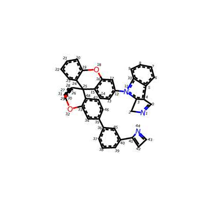 C1=NCc2c1c1ccccc1n2-c1ccc2c(c1)Oc1ccccc1C21c2ccccc2Oc2cc(-c3cccc(C4=CC=N4)c3)ccc21